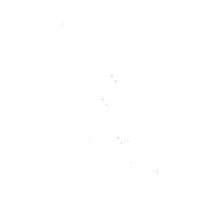 COc1ccccc1C(=O)Nc1ccc2nc(-c3ccc(F)cc3)cn2c1